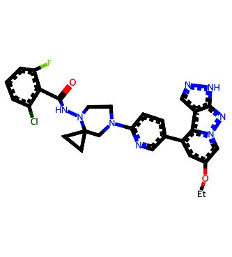 CCOc1cc(-c2ccc(N3CCN(NC(=O)c4c(F)cccc4Cl)C4(CC4)C3)nc2)c2c3cn[nH]c3nn2c1